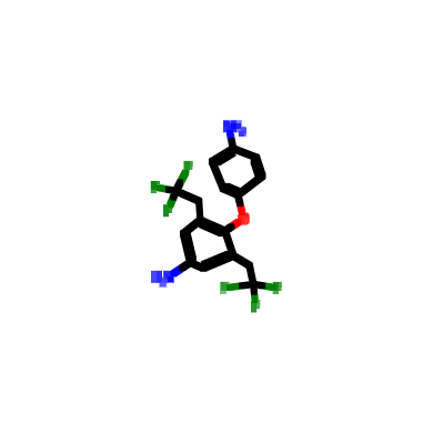 Nc1ccc(Oc2c(CC(F)(F)F)cc(N)cc2CC(F)(F)F)cc1